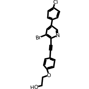 OCCOc1ccc(C#Cc2ncc(-c3ccc(Cl)cc3)cc2Br)cc1